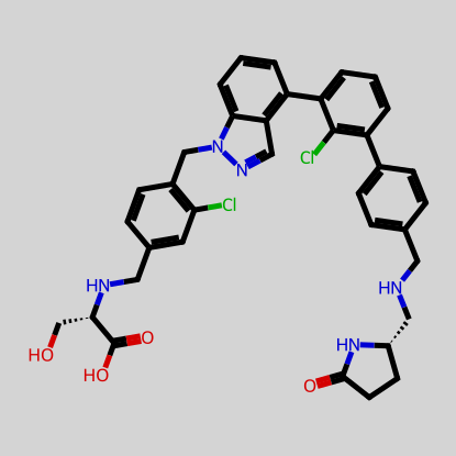 O=C1CC[C@@H](CNCc2ccc(-c3cccc(-c4cccc5c4cnn5Cc4ccc(CN[C@@H](CO)C(=O)O)cc4Cl)c3Cl)cc2)N1